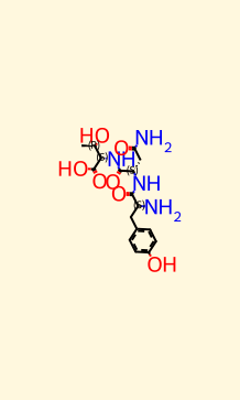 C[C@@H](O)[C@H](NC(=O)[C@H](CC(N)=O)NC(=O)[C@@H](N)Cc1ccc(O)cc1)C(=O)O